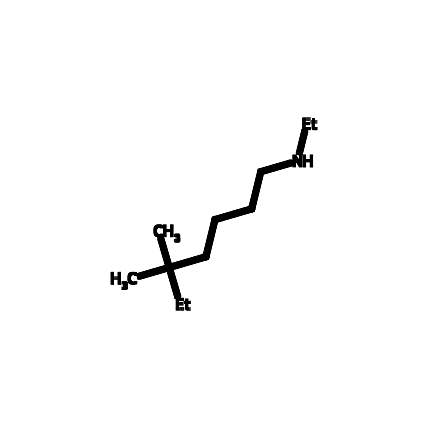 CCNCCCCC(C)(C)CC